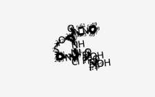 O=C(O)C(F)(F)F.O=C(O)C(F)(F)F.O=C(c1cc2cc(c1)OCCSc1cccc(c1)Nc1nc(ncc1Cl)N2)N1CCN(c2ccccc2)CC1